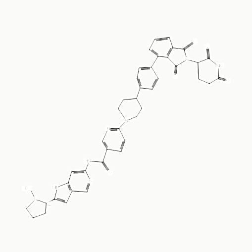 CN1CCC[C@@H]1c1cc2cnc(NC(=O)c3ccc(N4CCC(c5ccc(-c6cccc7c6C(=O)N(C6CCC(=O)NC6=O)C7=O)cc5)CC4)nc3)cc2[nH]1